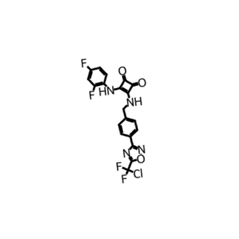 O=c1c(NCc2ccc(-c3noc(C(F)(F)Cl)n3)cc2)c(Nc2ccc(F)cc2F)c1=O